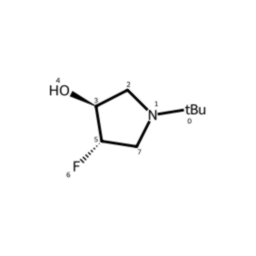 CC(C)(C)N1C[C@H](O)[C@@H](F)C1